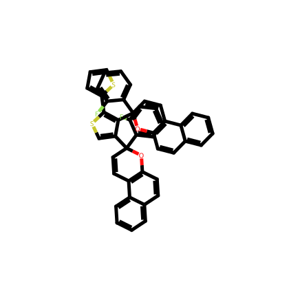 Fc1ccccc1C1(c2csc(-c3cccs3)c2C2(c3ccccc3F)C=Cc3c(ccc4ccccc34)O2)C=Cc2c(ccc3ccccc23)O1